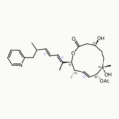 CC(=O)O[C@@H]1/C=C/[C@H](C)[C@@H](/C(C)=C/C=C/C(C)Cc2ccccn2)OC(=O)C[C@@H](O)CC[C@]1(C)O